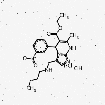 CCCCNCc1cnc2n1C(c1cccc([N+](=O)[O-])c1)C(C(=O)OCC)=C(C)N2.Cl.Cl